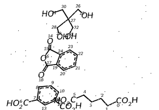 O=C(O)CCCCC(=O)O.O=C(O)c1cccc(C(=O)O)c1.O=C1OC(=O)c2ccccc21.OCC(CO)(CO)CO